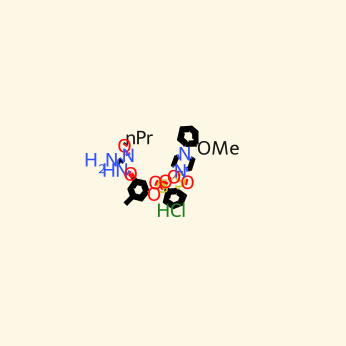 CCCON=C(N)NOc1cc(C)cc(OS(=O)(=O)c2ccccc2S(=O)(=O)N2CCN(c3ccccc3OC)CC2)c1.Cl